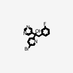 OC(Cc1cccc(F)c1)(c1cncnc1)c1ccc(Br)cn1